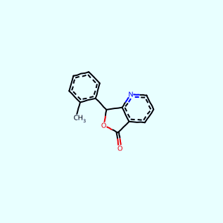 Cc1ccccc1C1OC(=O)c2cccnc21